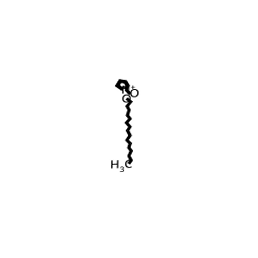 CCCCCCCCCCCCCCCCOC(=O)[n+]1ccccc1